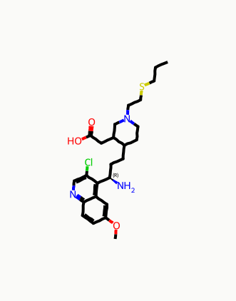 CCCSCCN1CCC(CC[C@@H](N)c2c(Cl)cnc3ccc(OC)cc23)C(CC(=O)O)C1